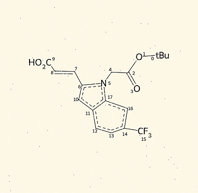 CC(C)(C)OC(=O)Cn1c(/C=C/C(=O)O)cc2ccc(C(F)(F)F)cc21